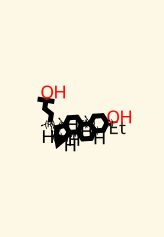 CC[C@]1(O)CC[C@@]2(C)[C@@H](CC[C@H]3[C@@H]4[C@H]5C[C@H]5[C@H]([C@H](C)CCC(C)(C)O)[C@@]4(C)CC[C@@H]32)C1